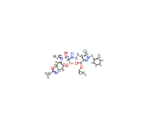 CCOC(=O)c1nn(Cc2ccccc2F)c(Cl)c1CCN[C@H]1COc2cc3nc(C4CC4)oc3cc2N(C)C1=O